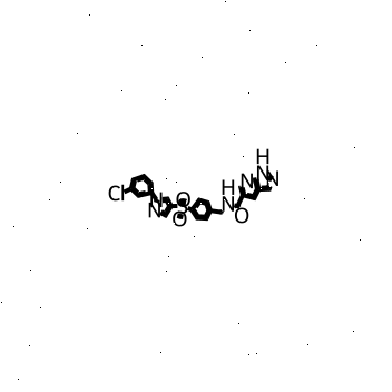 O=C(NCc1ccc(S(=O)(=O)c2cnn(-c3cccc(Cl)c3)c2)cc1)c1cnc2[nH]ncc2c1